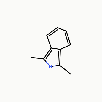 CC1=c2ccccc2=C(C)[N]1